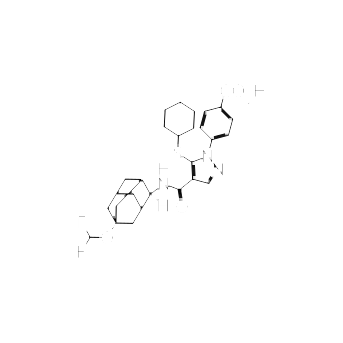 O=C(O)c1ccc(-n2ncc(C(=O)N[C@H]3C4CC5CC3C[C@@](OC(F)F)(C5)C4)c2SC2CCCCC2)cc1